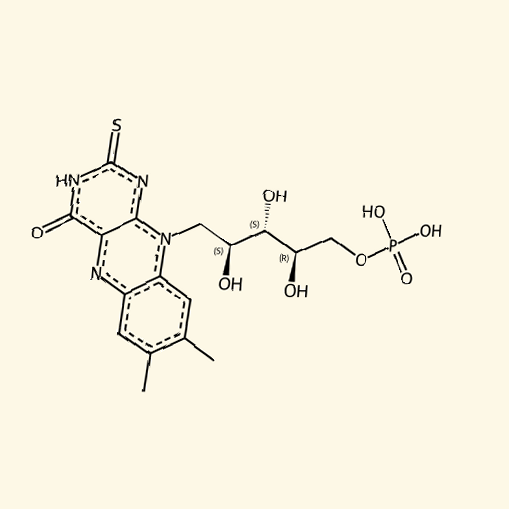 Cc1cc2nc3c(=O)[nH]c(=S)nc-3n(C[C@H](O)[C@H](O)[C@H](O)COP(=O)(O)O)c2cc1C